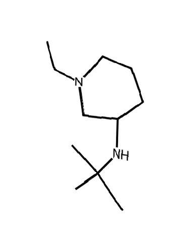 CCN1CCCC(NC(C)(C)C)C1